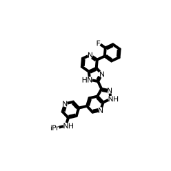 CC(C)Nc1cncc(-c2cnc3[nH]nc(-c4nc5c(-c6ccccc6F)nccc5[nH]4)c3c2)c1